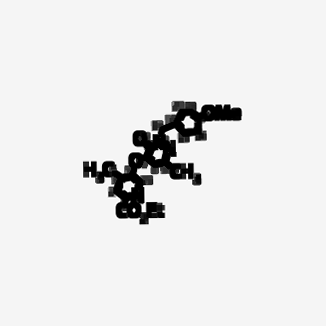 CCOC(=O)c1cc(C)c(Oc2cc(C)nn(Cc3ccc(OC)cc3)c2=O)cn1